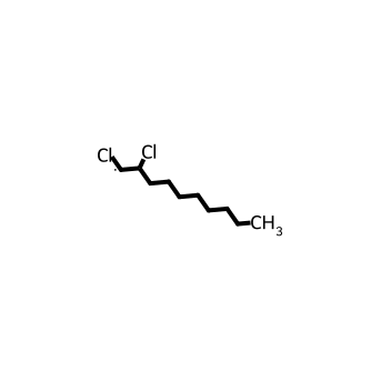 CCCCCCCCC(Cl)[CH]Cl